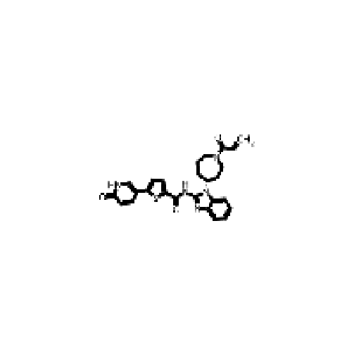 C=CC(=O)N1CCC[C@@H](n2c(NC(=O)c3ccc(-c4ccc(=O)[nH]c4)s3)nc3ccccc32)CC1